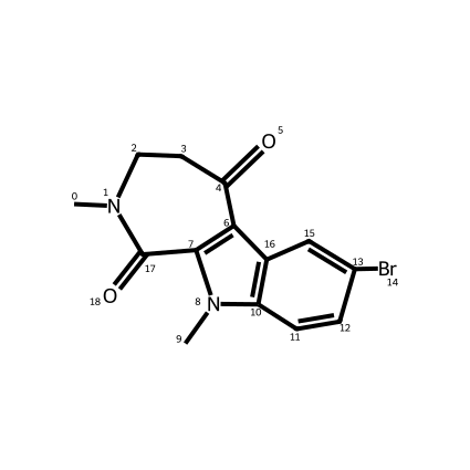 CN1CCC(=O)c2c(n(C)c3ccc(Br)cc23)C1=O